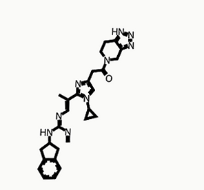 C=N/C(=N\C=C(/C)c1nc(CC(=O)N2CCc3[nH]nnc3C2)cn1C1CC1)NC1Cc2ccccc2C1